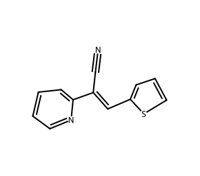 N#CC(=Cc1cccs1)c1ccccn1